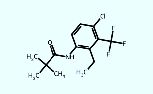 CCc1c(NC(=O)C(C)(C)C)ccc(Cl)c1C(F)(F)F